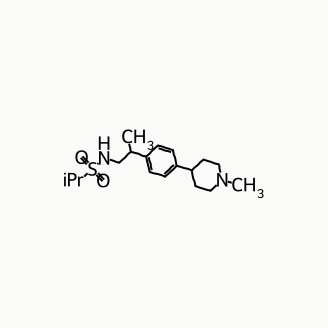 CC(CNS(=O)(=O)C(C)C)c1ccc(C2CCN(C)CC2)cc1